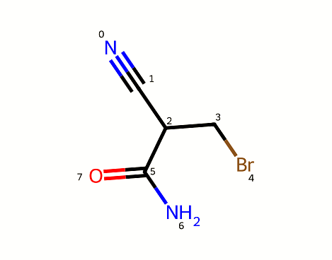 N#CC(CBr)C(N)=O